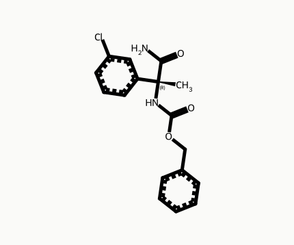 C[C@](NC(=O)OCc1ccccc1)(C(N)=O)c1cccc(Cl)c1